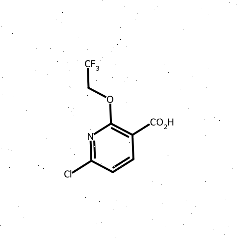 O=C(O)c1ccc(Cl)nc1OCC(F)(F)F